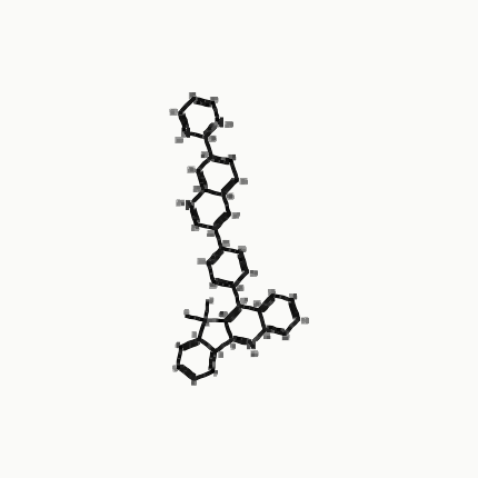 CC1(C)c2ccccc2-c2nc3ccccc3c(-c3ccc(-c4cnc5cc(-c6ncccn6)ccc5c4)cc3)c21